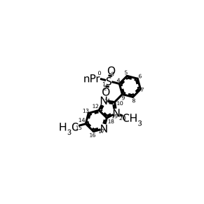 CCCS(=O)(=O)c1ccccc1-c1nc2cc(C)cnc2n1C